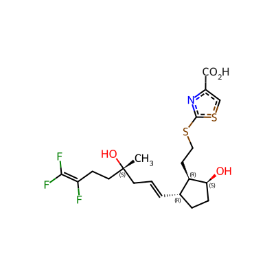 C[C@@](O)(CC=C[C@H]1CC[C@H](O)[C@@H]1CCSc1nc(C(=O)O)cs1)CCC(F)=C(F)F